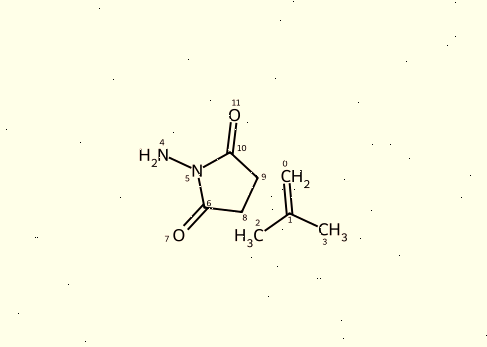 C=C(C)C.NN1C(=O)CCC1=O